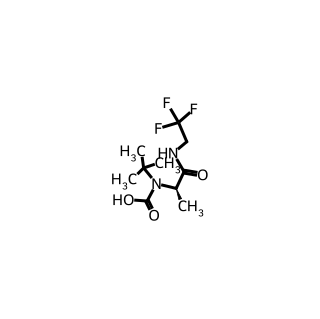 C[C@H](C(=O)NCC(F)(F)F)N(C(=O)O)C(C)(C)C